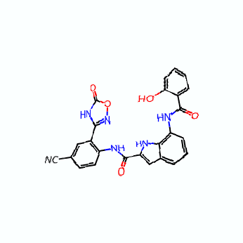 N#Cc1ccc(NC(=O)c2cc3cccc(NC(=O)c4ccccc4O)c3[nH]2)c(-c2noc(=O)[nH]2)c1